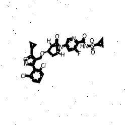 O=C(NS(=O)(=O)C1CC1)c1ncc(N2C(=O)[C@@H]3C[C@H]2C[C@H]3OCc2c(-c3c(Cl)cccc3Cl)noc2C2CC2)cc1F